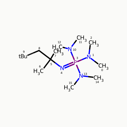 CN(C)P(=NC(C)(C)CC(C)(C)C)(N(C)C)N(C)C